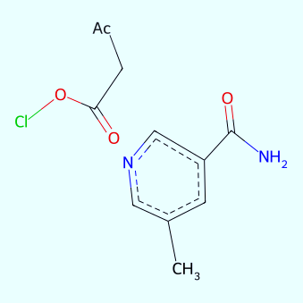 CC(=O)CC(=O)OCl.Cc1cncc(C(N)=O)c1